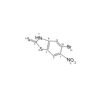 O=[N+]([O-])c1cc2sc(=S)[nH]c2cc1Br